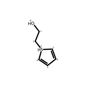 OCC[SH]1C=CC=C1